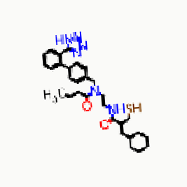 CCCC(=O)N(CCNC(=O)C(CS)CC1CCCCC1)Cc1ccc(-c2ccccc2-c2nnn[nH]2)cc1